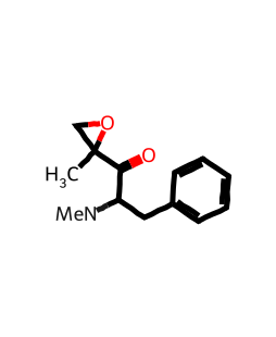 CNC(Cc1ccccc1)C(=O)C1(C)CO1